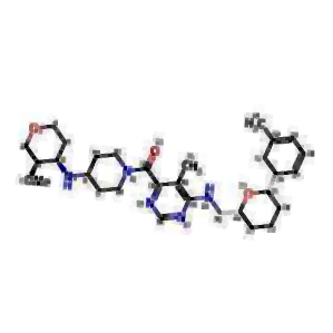 CO[C@H]1COCC[C@H]1NC1CCN(C(=O)c2ncnc(NC[C@H]3CCC[C@@H](C4C=CC=C(C)C4)O3)c2C)CC1